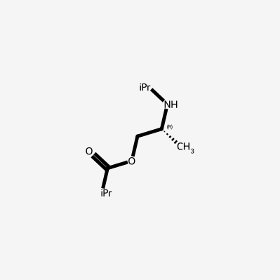 CC(C)N[C@H](C)COC(=O)C(C)C